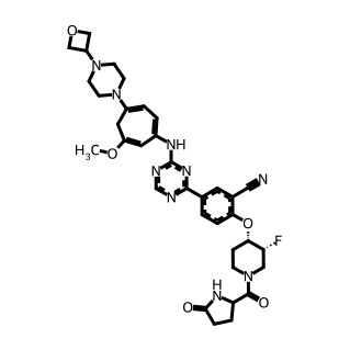 COC1=CC(Nc2ncnc(-c3ccc(O[C@H]4CCN(C(=O)C5CCC(=O)N5)C[C@H]4F)c(C#N)c3)n2)=CC=C(N2CCN(C3COC3)CC2)C1